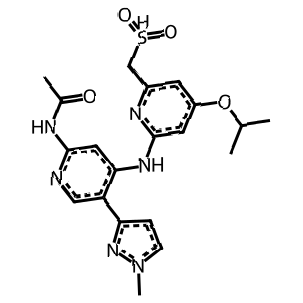 CC(=O)Nc1cc(Nc2cc(OC(C)C)cc(C[SH](=O)=O)n2)c(-c2ccn(C)n2)cn1